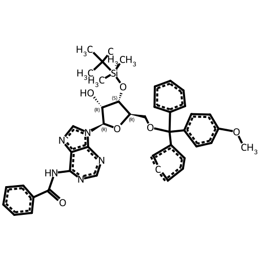 COc1ccc(C(OC[C@H]2O[C@@H](n3cnc4c(NC(=O)c5ccccc5)ncnc43)[C@H](O)[C@@H]2O[Si](C)(C)C(C)(C)C)(c2ccccc2)c2ccccc2)cc1